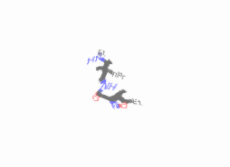 CCCC(C)(CNC(=O)c1noc(CC)c1C)C(C)NCC